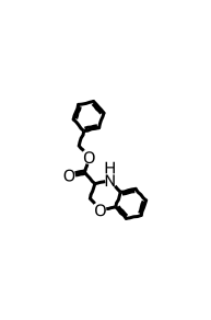 O=C(OCc1ccccc1)C1COc2ccccc2N1